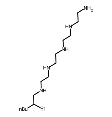 CCCCC(CC)CNCCNCCNCCNCCN